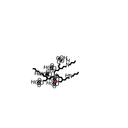 CCCCNCCCC(CCOS(=O)(=O)O)CC(CN(CC(CC(CCCNCCCC)CCOS(=O)(=O)O)OS(=O)(=O)O)CC(CC(CCCNCCCC)CCOS(=O)(=O)O)OS(=O)(=O)O)OS(=O)(=O)O